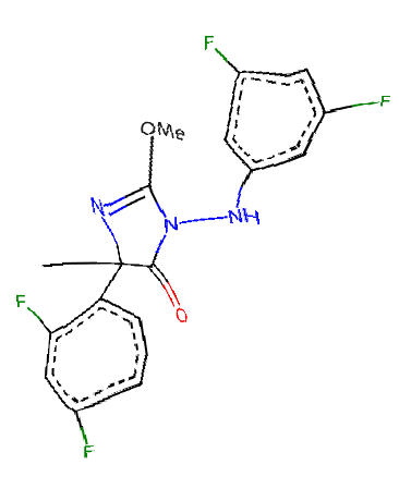 COC1=NC(C)(c2ccc(F)cc2F)C(=O)N1Nc1cc(F)cc(F)c1